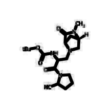 CN1C(=O)C2C[C@H]1CN2CC(NC(=O)OC(C)(C)C)C(=O)N1CCCC1C#N